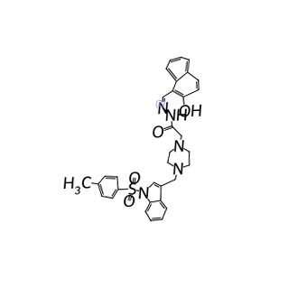 Cc1ccc(S(=O)(=O)n2cc(CN3CCN(CC(=O)N/N=C\c4c(O)ccc5ccccc45)CC3)c3ccccc32)cc1